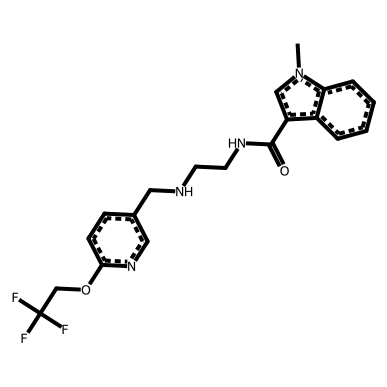 Cn1cc(C(=O)NCCNCc2ccc(OCC(F)(F)F)nc2)c2ccccc21